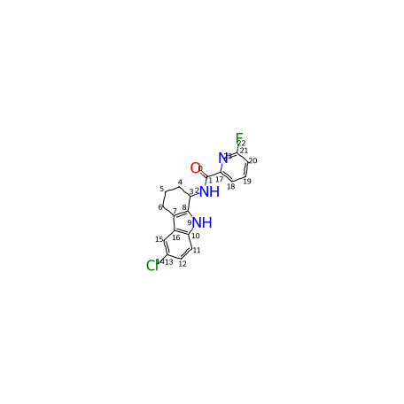 O=C(NC1CCCc2c1[nH]c1ccc(Cl)cc21)c1cccc(F)n1